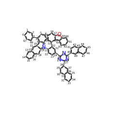 c1ccc(-c2cccc3c2c2cc4ccccc4cc2n3-c2ccc(-c3nc(-c4ccc5ccccc5c4)nc(-c4ccc5ccccc5c4)n3)cc2-c2cccc3oc4ccccc4c23)cc1